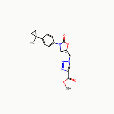 CCCCOC(=O)c1cn(C[C@H]2CN(c3ccc(C4(C#N)CC4)cc3)C(=O)O2)nn1